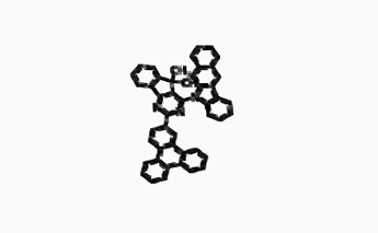 CC1(C)c2ccccc2-c2nc(-c3ccc4c5ccccc5c5ccccc5c4c3)nc(-n3c4ccccc4c4cc5ccccc5cc43)c21